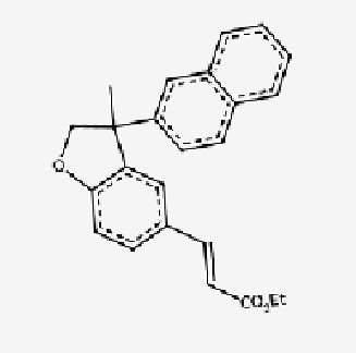 CCOC(=O)C=Cc1ccc2c(c1)C(C)(c1ccc3ccccc3c1)CO2